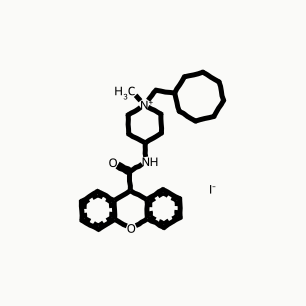 C[N+]1(CC2CCCCCCC2)CCC(NC(=O)C2c3ccccc3Oc3ccccc32)CC1.[I-]